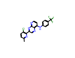 Cc1ccc(Cl)c(-c2cnc3c(Nc4ccc(C(F)(F)F)cc4)ccnc3n2)n1